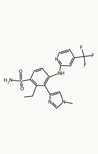 CCc1c(S(N)(=O)=O)ccc(Nc2cc(C(F)(F)F)ccn2)c1-c1cn(C)cn1